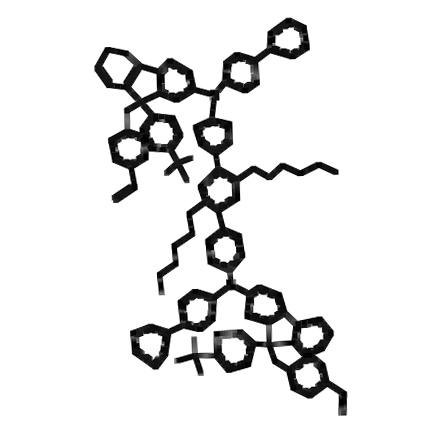 C=Cc1ccc(CC2(c3ccc(C(C)(C)C)cc3)C3=C(CCC=C3)c3ccc(N(c4ccc(-c5ccccc5)cc4)c4ccc(-c5cc(CCCCCC)c(-c6ccc(N(c7ccc(-c8ccccc8)cc7)c7ccc8c(c7)C(Cc7ccc(C=C)cc7)(c7ccc(C(C)(C)C)cc7)c7ccccc7-8)cc6)cc5CCCCCC)cc4)cc32)cc1